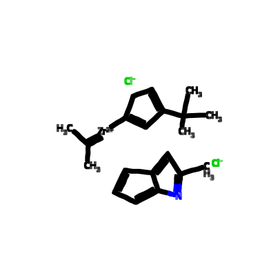 CC1=NC2=CC=CC2=C1.C[C](C)=[Zr+2][C]1=CC(C(C)(C)C)=CC1.[Cl-].[Cl-]